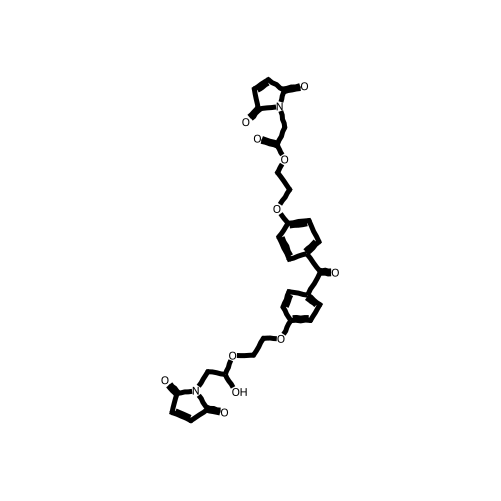 O=C(CN1C(=O)C=CC1=O)OCCOc1ccc(C(=O)c2ccc(OCCOC(O)CN3C(=O)C=CC3=O)cc2)cc1